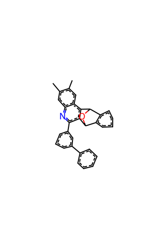 Cc1cc2nc(-c3cccc(-c4ccccc4)c3)c3c(c2cc1C)C1OC3c2ccccc21